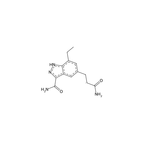 CCc1cc(C[CH]C(N)=O)cc2c(C(N)=O)n[nH]c12